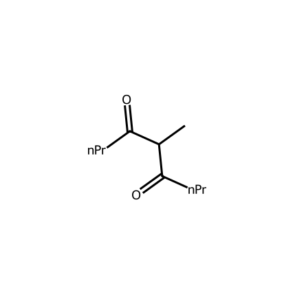 CCCC(=O)C(C)C(=O)CCC